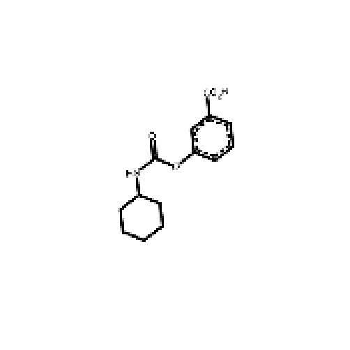 O=C(NC1CCCCC1)Oc1cccc(C(=O)O)c1